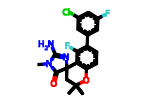 CN1C(=O)C2(CC(C)(C)Oc3ccc(-c4cc(F)cc(Cl)c4)c(F)c32)N=C1N